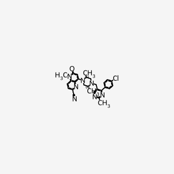 Cc1ncc(CN2C[C@H](C)N(c3cc(=O)n(C)c4ccc(C#N)nc34)C[C@H]2C)c(-c2ccc(Cl)cc2)n1